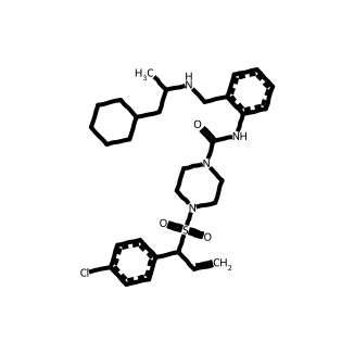 C=CC(c1ccc(Cl)cc1)S(=O)(=O)N1CCN(C(=O)Nc2ccccc2CNC(C)CC2CCCCC2)CC1